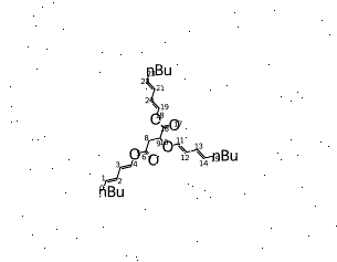 CCCCC=CC=COC(=O)CC(OC=CC=CCCCC)C(=O)OC=CC=CCCCC